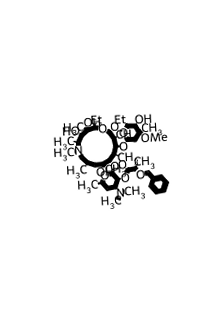 CC[C@@H]1O[C@@H](O[C@H]2[C@H](C)[C@@H](O[C@@H]3O[C@H](C)C[C@H](N(C)C)[C@H]3OC(=O)[C@@H](C)OCc3ccccc3)[C@](C)(O)C[C@@H](C)CN(C)[C@H](C)[C@@H](O)[C@](C)(O)[C@@H](CC)OC(=O)[C@@H]2C)C[C@@](C)(OC)[C@H]1O